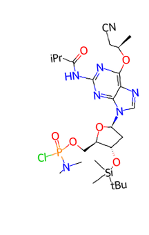 CC(C)C(=O)Nc1nc(O[C@H](C)CC#N)c2ncn([C@H]3C[C@H](O[Si](C)(C)C(C)(C)C)[C@@H](COP(=O)(Cl)N(C)C)O3)c2n1